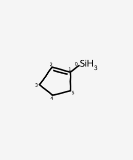 [SiH3]C1=CCCC1